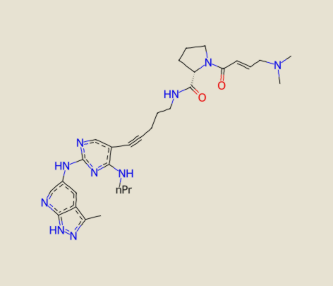 CCCNc1nc(Nc2cnc3[nH]nc(C)c3c2)ncc1C#CCCCNC(=O)[C@@H]1CCCN1C(=O)/C=C/CN(C)C